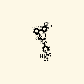 CCNC(=S)N1CCC(c2nc(C(=O)Nc3ccccc3-c3cccc(C(F)(F)F)c3)cs2)CC1